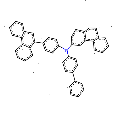 c1ccc(-c2ccc(N(c3ccc(-c4cc5ccccc5c5ccccc45)cc3)c3ccc4ccc5ccccc5c4c3)cc2)cc1